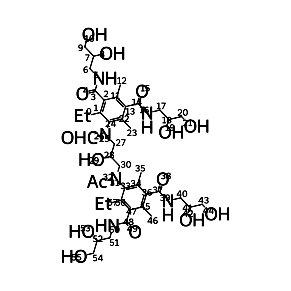 CCc1c(C(=O)NCC(O)CO)c(C)c(C(=O)NCC(O)CO)c(C)c1N(C=O)CC(O)CN(C(C)=O)c1c(C)c(C(=O)NCC(O)CO)c(C)c(C(=O)NCC(O)CO)c1CC